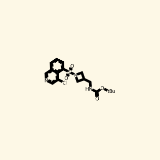 CC(C)(C)OC(=O)NCC1CN(S(=O)(=O)c2cccc3cncc(Cl)c23)C1